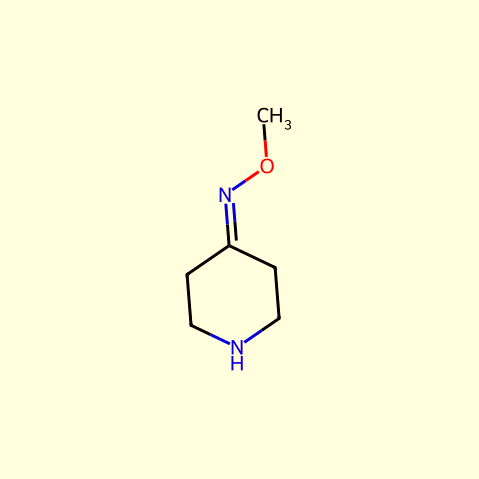 CON=C1CCNCC1